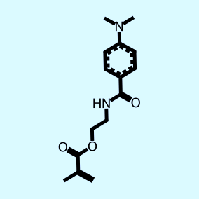 C=C(C)C(=O)OCCNC(=O)c1ccc(N(C)C)cc1